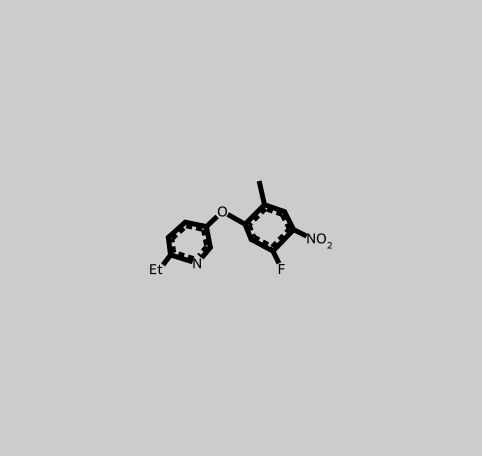 CCc1ccc(Oc2cc(F)c([N+](=O)[O-])cc2C)cn1